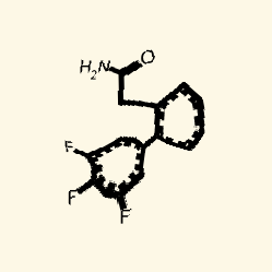 NC(=O)Cc1ccccc1-c1cc(F)c(F)c(F)c1